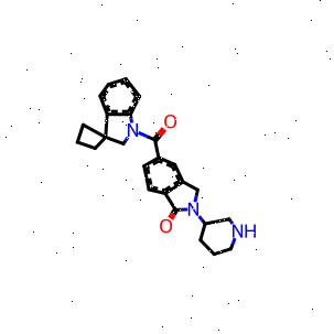 O=C(c1ccc2c(c1)CN(C1CCCNC1)C2=O)N1CC2(CCC2)c2ccccc21